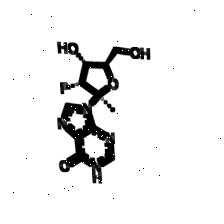 C[C@@]1(n2cnc3c(=O)[nH]cnc32)O[C@H](CO)[C@@H](O)[C@H]1F